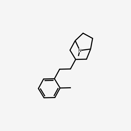 Cc1ccccc1CCC1CC2CCC(C1)N2C